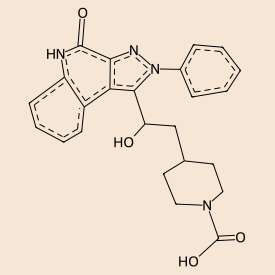 O=C(O)N1CCC(CC(O)c2c3c(nn2-c2ccccc2)c(=O)[nH]c2ccccc23)CC1